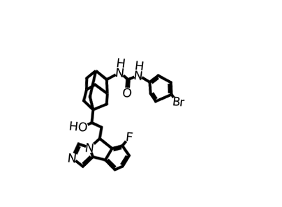 O=C(Nc1ccc(Br)cc1)NC1C2CC3CC1CC(C(O)CC1c4c(F)cccc4-c4cncn41)(C3)C2